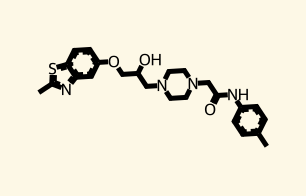 Cc1ccc(NC(=O)CN2CCN(CC(O)COc3ccc4sc(C)nc4c3)CC2)cc1